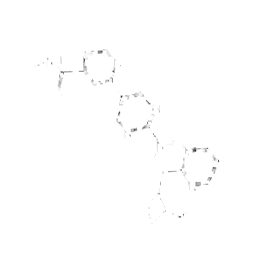 CNC(=O)c1ccnc(-c2cnc(NC[C@H](c3ncccc3F)C3CC[C@@H]3F)nc2)c1